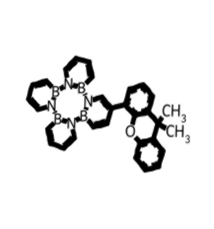 CC1(C)c2ccccc2Oc2c(C3=CN4B5C=CC=CN5B5C=CC=CN5B5C=CC=CN5B4C=C3)cccc21